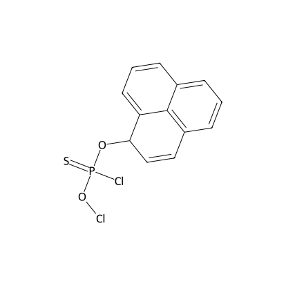 S=P(Cl)(OCl)OC1C=Cc2cccc3cccc1c23